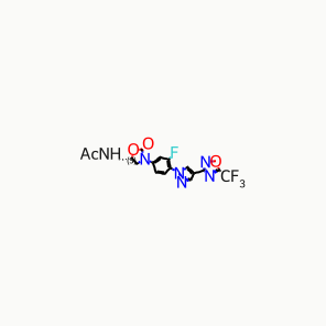 CC(=O)NC[C@H]1CN(c2ccc(-n3cc(-c4noc(C(F)(F)F)n4)cn3)c(F)c2)C(=O)O1